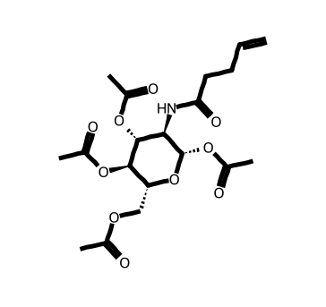 C=CCCC(=O)N[C@H]1[C@H](OC(C)=O)O[C@H](COC(C)=O)[C@@H](OC(C)=O)[C@@H]1OC(C)=O